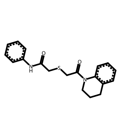 O=C(CSCC(=O)N1CCCc2ccccc21)Nc1ccccc1